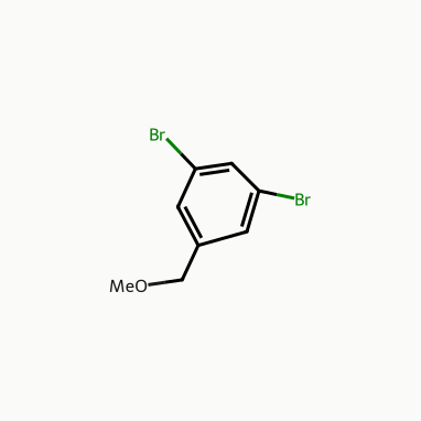 [CH2]OCc1cc(Br)cc(Br)c1